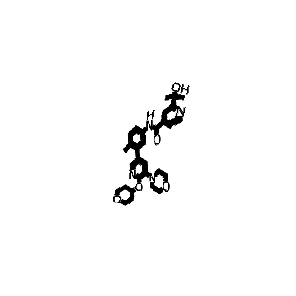 Cc1ccc(NC(=O)c2ccnc(C(C)(C)O)c2)cc1-c1cnc(OC2CCOCC2)c(N2CCOCC2)c1